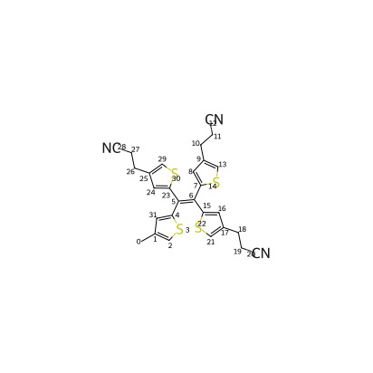 Cc1csc(C(=C(c2cc(CCC#N)cs2)c2cc(CCC#N)cs2)c2cc(CCC#N)cs2)c1